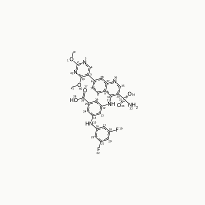 COc1ncc(-c2ccc3c(Nc4cc(Nc5cc(F)cc(F)c5)cc(C(=O)O)c4)c(S(N)(=O)=O)cnc3c2)c(OC)n1